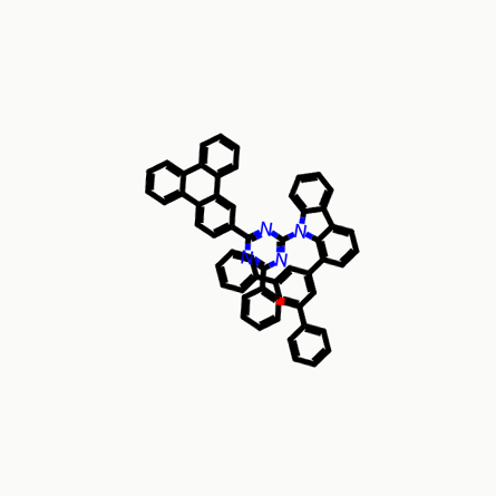 c1ccc(-c2cc(-c3ccccc3)cc(-c3cccc4c5ccccc5n(-c5nc(-c6ccccc6)nc(-c6ccc7c8ccccc8c8ccccc8c7c6)n5)c34)c2)cc1